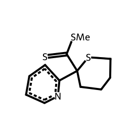 CSC(=S)C1(c2ccccn2)CCCCS1